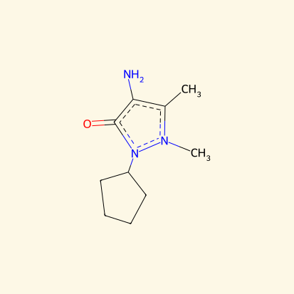 Cc1c(N)c(=O)n(C2CCCC2)n1C